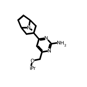 CC(C)OCc1cc(C2CC3CCC(C2)N3C)nc(N)n1